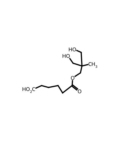 CC(CO)(CO)COC(=O)CCCCC(=O)O